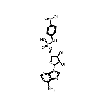 Nc1ncnc2c1ncn2[C@@H]1O[C@H](COP(=O)(O)Nc2ccc([N+](=O)O)cc2)[C@@H](O)[C@H]1O